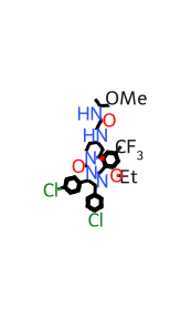 CCOc1cc(C(F)(F)F)ccc1C1=NC(c2ccc(Cl)cc2)C(c2ccc(Cl)cc2)N1C(=O)N1CCC(NCC(=O)NC(C)COC)CC1